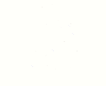 NC(=O)c1cc2cccc(-c3cn(-c4ccccc4)nn3)c2[nH]c1=O